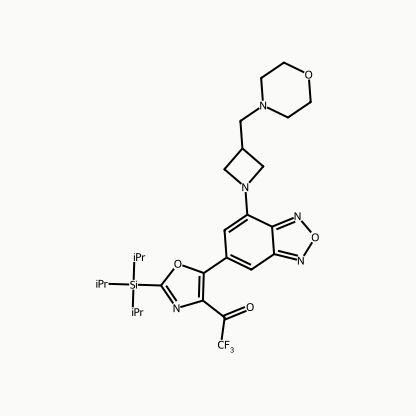 CC(C)[Si](c1nc(C(=O)C(F)(F)F)c(-c2cc(N3CC(CN4CCOCC4)C3)c3nonc3c2)o1)(C(C)C)C(C)C